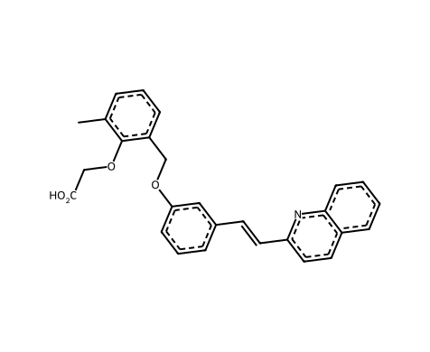 Cc1cccc(COc2cccc(C=Cc3ccc4ccccc4n3)c2)c1OCC(=O)O